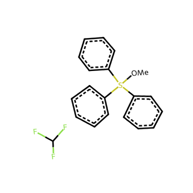 COS(c1ccccc1)(c1ccccc1)c1ccccc1.FC(F)F